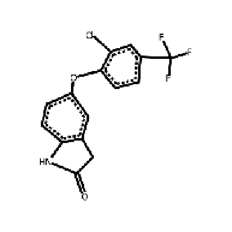 O=C1Cc2cc(Oc3ccc(C(F)(F)F)cc3Cl)ccc2N1